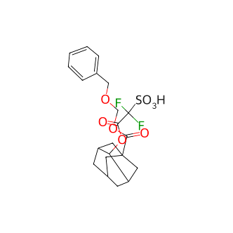 O=C(OCOCc1ccccc1)C12CC3CC(C1)C(OC(=O)C(F)(F)S(=O)(=O)O)C(C3)C2